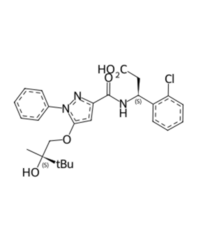 CC(C)(C)[C@](C)(O)COc1cc(C(=O)N[C@@H](CC(=O)O)c2ccccc2Cl)nn1-c1ccccc1